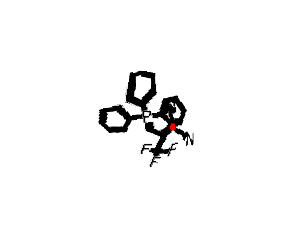 N#CC(C#N)=C(C=P(c1ccccc1)(c1ccccc1)c1ccccc1)C(F)(F)F